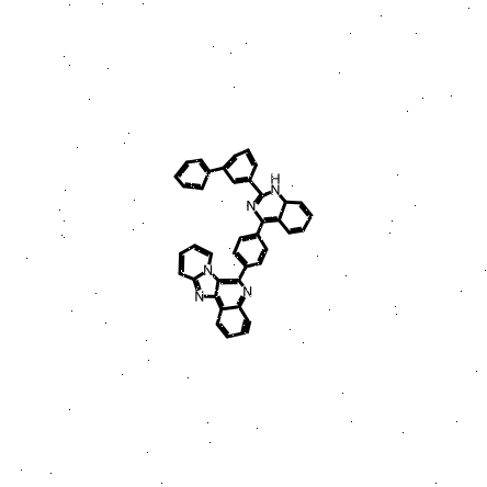 c1ccc2c(c#1)nc(-c1ccc(C3=C4C=CC=CC4NC(c4cccc(-c5ccccc5)c4)=N3)cc1)c1c2nc2ccccn21